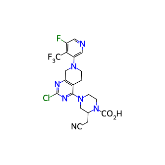 N#CCC1CN(c2nc(Cl)nc3c2CCN(c2cncc(F)c2C(F)(F)F)C3)CCN1C(=O)O